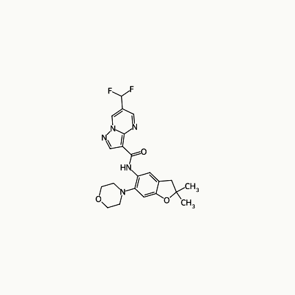 CC1(C)Cc2cc(NC(=O)c3cnn4cc(C(F)F)cnc34)c(N3CCOCC3)cc2O1